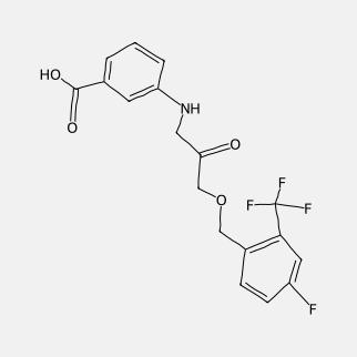 O=C(CNc1cccc(C(=O)O)c1)COCc1ccc(F)cc1C(F)(F)F